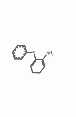 NC1=CCCC=C1Sc1ccccc1